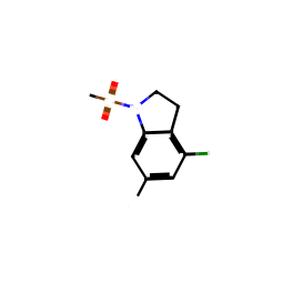 Cc1cc(F)c2c(c1)N(S(C)(=O)=O)CC2